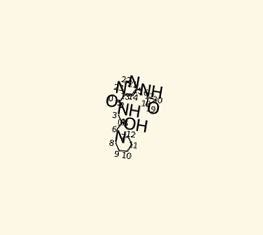 O=C(NC[C@H](O)CN1CCCCC1)c1cc(NC2COC2)ncn1